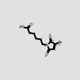 CC(C)C(=O)CCCCCN1C(=O)C=C(Br)C1=O